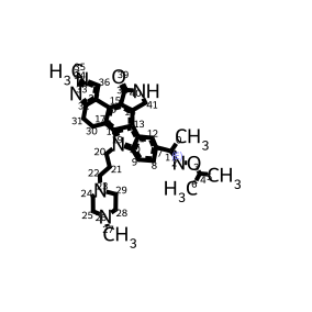 C/C(=N\OC(C)C)c1ccc2c(c1)c1c3c(c4c(c1n2CCCN1CCN(C)CC1)CCc1nn(C)cc1-4)C(=O)NC3